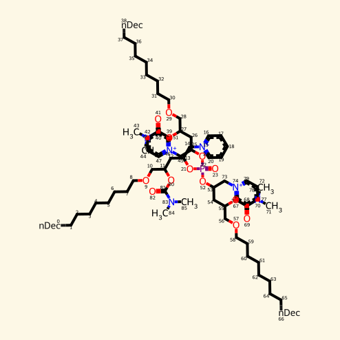 CCCCCCCCCCCCCCCCCCOCC(CC(C[n+]1ccccc1)OP(=O)(OC(CC(COCCCCCCCCCCCCCCCCCC)OC(=O)N(C)C)C[n+]1ccccc1)OC(CC(COCCCCCCCCCCCCCCCCCC)OC(=O)N(C)C)C[n+]1ccccc1)OC(=O)N(C)C